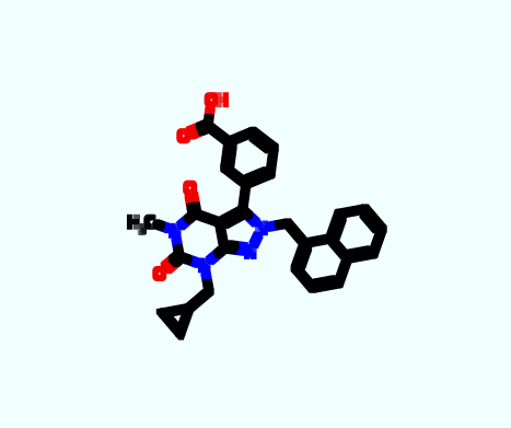 Cn1c(=O)c2c(-c3cccc(C(=O)O)c3)n(Cc3cccc4ccccc34)nc2n(CC2CC2)c1=O